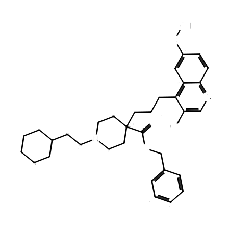 COc1ccc2ncc(Cl)c(CCCC3(C(=O)OCc4ccccc4)CCN(CCC4CCCCC4)CC3)c2c1